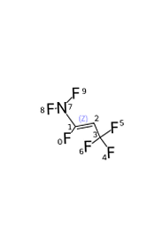 F/C(=C\C(F)(F)F)N(F)F